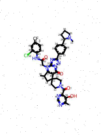 Cc1ncnc(C(=O)N2CCC3(CC2)CC(C)c2c3c(=O)n3nc(-c4ccc(C5CCCN5C)cc4)nc3n2CC(=O)Nc2ccc(C(F)(F)F)cc2Cl)c1O